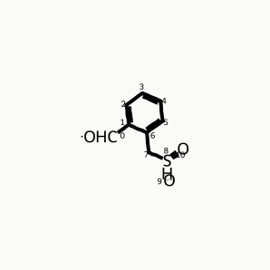 O=[C]c1ccccc1C[SH](=O)=O